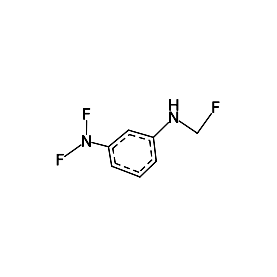 FCNc1cccc(N(F)F)c1